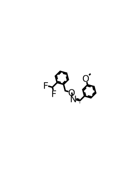 COc1cccc(/[C]=N\OCc2ccccc2C(F)F)c1